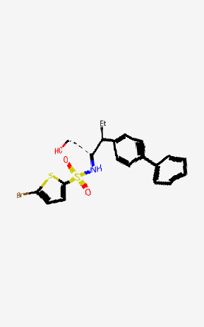 CC[C@@H](c1ccc(-c2ccccc2)cc1)[C@@H](CO)NS(=O)(=O)c1ccc(Br)s1